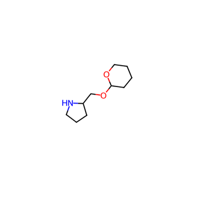 C1CCC(OCC2CCCN2)OC1